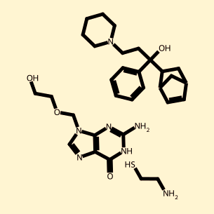 NCCS.Nc1nc2c(ncn2COCCO)c(=O)[nH]1.OC(CCN1CCCCC1)(c1ccccc1)C1CC2C=CC1C2